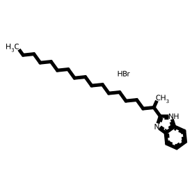 Br.CCCCCCCCCCCCCCCCC(C)c1nc2ccccc2[nH]1